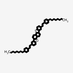 CCCCCCCCc1ccc(/C=C/c2ccc3oc4c(ccc5c4ccc4c6cc(/C=C/c7ccc(CCCCCCCC)cc7)ccc6sc45)c3c2)cc1